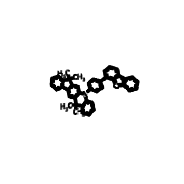 CC1(C)c2ccccc2-c2cc3c(cc21)N(c1ccc(-c2cccc4c2oc2ccccc24)cc1)c1ccccc1C3(C)C